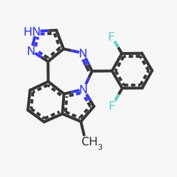 Cc1cn2c3c(cccc13)-c1n[nH]cc1N=C2c1c(F)cccc1F